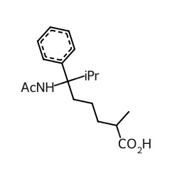 CC(=O)NC(CCCC(C)C(=O)O)(c1ccccc1)C(C)C